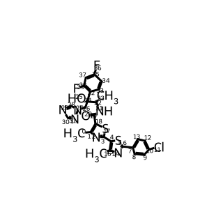 Cc1nc(-c2sc(-c3ccc(Cl)cc3)nc2C)sc1C(=O)NC(C)C(O)(Cn1cncn1)c1ccc(F)cc1F